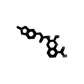 CN1Cc2ccc(CC(=O)NC3Cc4cccc(C(=O)O)c4OB3O)cc2C1